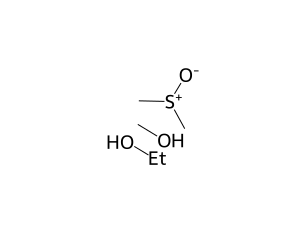 CCO.CO.C[S+](C)[O-]